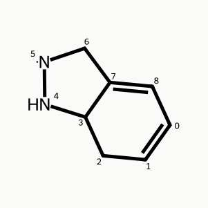 C1=CCC2N[N]CC2=C1